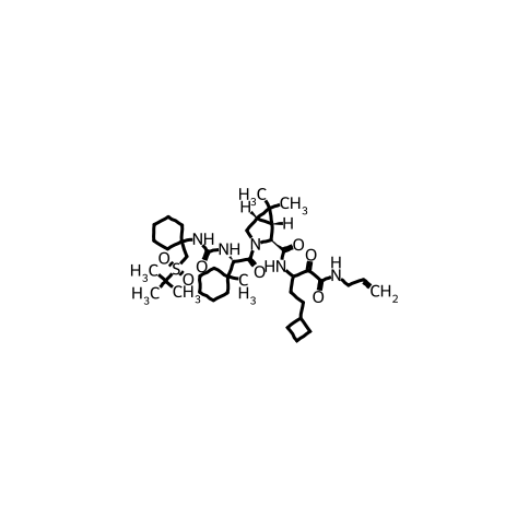 C=CCNC(=O)C(=O)C(CCC1CCC1)NC(=O)[C@@H]1[C@@H]2[C@H](CN1C(=O)[C@@H](NC(=O)NC1(CS(=O)(=O)C(C)(C)C)CCCCC1)C1(C)CCCCC1)C2(C)C